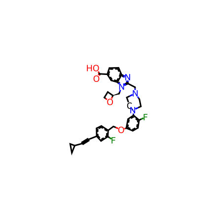 O=C(O)c1ccc2nc(CN3CCN(c4cc(OCc5ccc(C#CC6CC6)cc5F)ccc4F)CC3)n(C[C@@H]3CCO3)c2c1